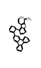 C=Cc1sc2cccc(-c3ccccc3-c3ccc4c5ccccc5c5ccccc5c4c3)c2c1/C=C\C